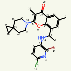 Cc1cc(C(C)Nc2ccc(Cl)nc2Br)c2oc(N3CCC4(CC3)CC4)c(C)c(=O)c2c1